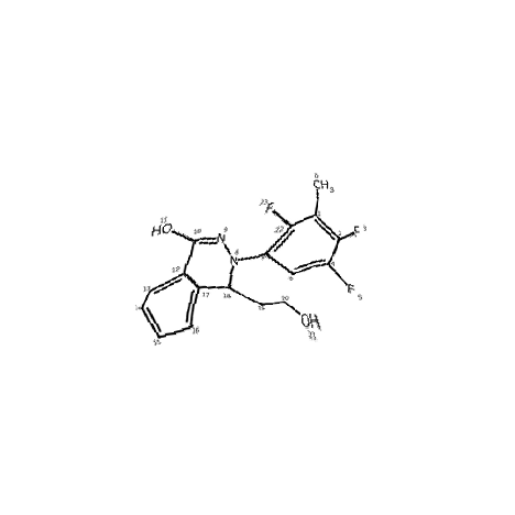 Cc1c(F)c(F)cc(N2N=C(O)c3ccccc3C2CCO)c1F